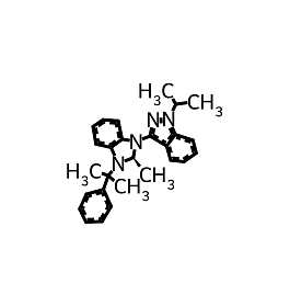 CC(C)n1nc(N2c3ccccc3N(C(C)(C)c3ccccc3)[C@@H]2C)c2ccccc21